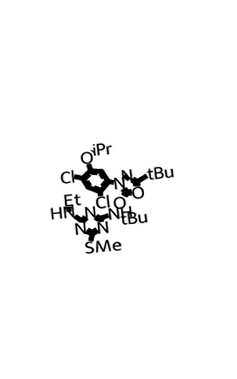 CC(C)Oc1cc(-n2nc(C(C)(C)C)oc2=O)c(Cl)cc1Cl.CCNc1nc(NC(C)(C)C)nc(SC)n1